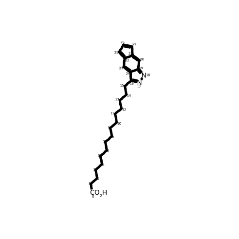 O=C(O)CCCCCCCCCCCCCCCC1=NN=c2cc3c(cc21)=CC=C3